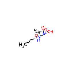 CCCCCCCC(=O)NCCN(CCO)CC(=O)[O-].[Na+]